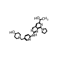 CC(O)c1cc2cnc(Nc3ccc(CN4CCC(O)CC4)cn3)nc2c(N2CCCC2)n1